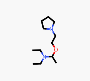 CCN(CC)C(C)OCCN1CCCC1